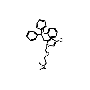 C[Si](C)(C)CCOCn1cc(Cl)nc1C[PH](c1ccccc1)(c1ccccc1)c1ccccc1